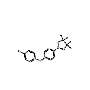 CC1(C)CB(c2ccc(Oc3ccc(F)cc3)cc2)OC1(C)C